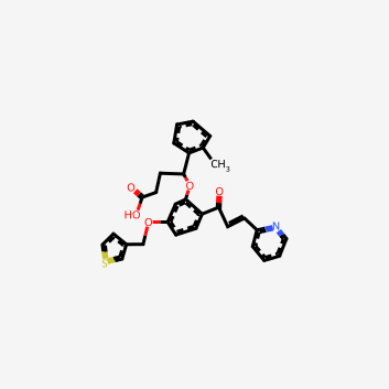 Cc1ccccc1C(CCC(=O)O)Oc1cc(OCc2ccsc2)ccc1C(=O)C=Cc1ccccn1